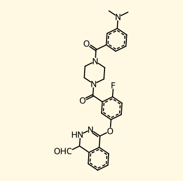 CN(C)c1cccc(C(=O)N2CCN(C(=O)c3cc(OC4=NNC(C=O)c5ccccc54)ccc3F)CC2)c1